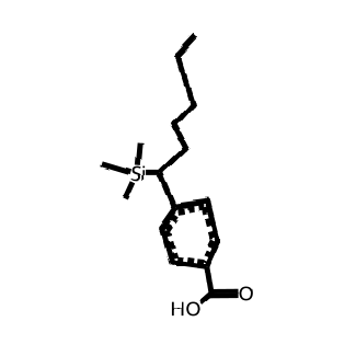 CCCCCC(c1ccc(C(=O)O)cc1)[Si](C)(C)C